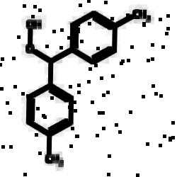 Cc1ccc(C(OO)c2ccc(C)cc2)cc1